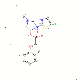 CCN1CC(OC(=O)COc2ccccc2C)[N+]([O-])(c2ncc(Cl)s2)C1